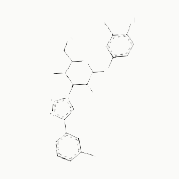 OCC1OC(Sc2ccc(Cl)c(Cl)c2)C(O)C(n2cc(-c3cccc(F)c3)nn2)C1O